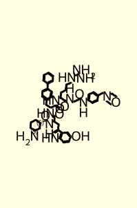 N=C(N)NCCCCC(NC(=O)C(Cc1ccc(-c2ccccc2)cc1)NC(=O)C(Cc1c[nH]c2ccc(O)cc12)NC(=O)[C@H]1CCC[C@H](N)C1)C(=O)NCC(=O)Nc1ccc(CN2CCOCC2)cc1